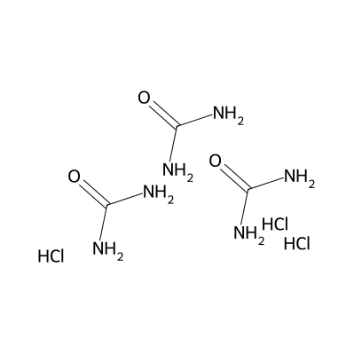 Cl.Cl.Cl.NC(N)=O.NC(N)=O.NC(N)=O